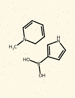 CN1C=CC=CC1.OB(O)c1cc[nH]c1